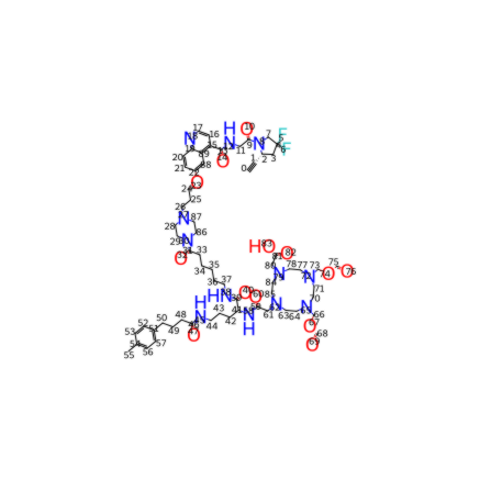 C#C[C@H]1CC(F)(F)CN1C(=O)CNC(=O)c1ccnc2ccc(OCCCN3CCN(C(=O)CCCCCNC(=O)C(CCCNC(=O)CCCc4ccc(C)cc4)NC(=O)CN4CCN(COC=O)CCN(COC=O)CCN(CC(=O)O)CC4)CC3)cc12